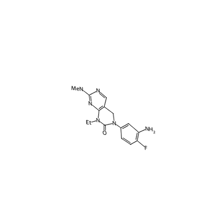 CCN1C(=O)N(c2ccc(F)c(N)c2)Cc2cnc(NC)nc21